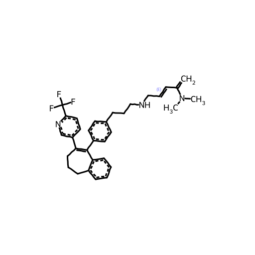 C=C(/C=C/CNCCCc1ccc(C2=C(c3ccc(C(F)(F)F)nc3)CCCc3ccccc32)cc1)N(C)C